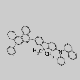 CC1(C)c2cc(-c3cc4cc(-c5ccccc5)c5c(c4c4ccccc34)C=CCC5)ccc2-c2ccc(N(c3ccccc3)c3cccc4ccccc34)cc21